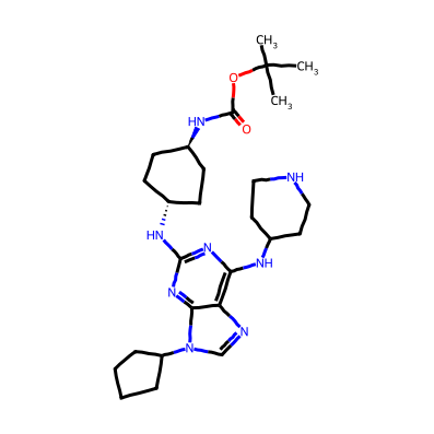 CC(C)(C)OC(=O)N[C@H]1CC[C@H](Nc2nc(NC3CCNCC3)c3ncn(C4CCCC4)c3n2)CC1